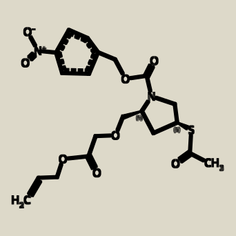 C=CCOC(=O)COC[C@@H]1C[C@H](SC(C)=O)CN1C(=O)OCc1ccc([N+](=O)[O-])cc1